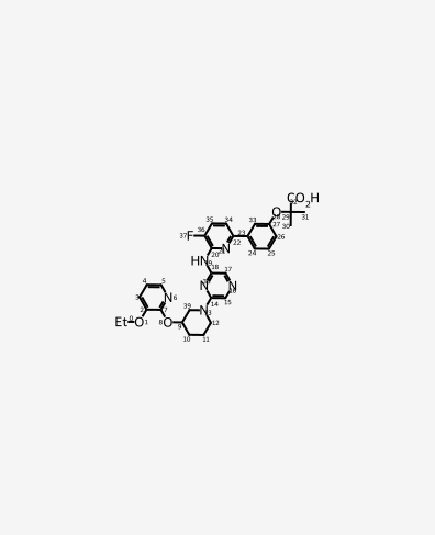 CCOc1cccnc1OC1CCCN(c2cncc(Nc3nc(-c4cccc(OC(C)(C)C(=O)O)c4)ccc3F)n2)C1